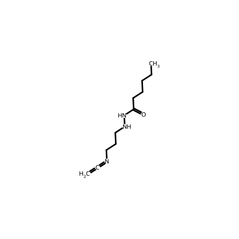 C=C=NCCCNNC(=O)CCCCC